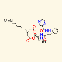 CNCCCCCCC1(C)CC(=O)OB([C@H](CC(C)C)NC(=O)C(Cc2ccccc2)NC(=O)c2cnccn2)OC(=O)C1